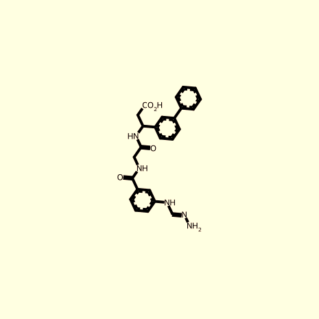 NN=CNc1cccc(C(=O)NCC(=O)NC(CC(=O)O)c2cccc(-c3ccccc3)c2)c1